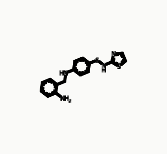 Nc1ccccc1CNc1ccc(SNc2nccs2)cc1